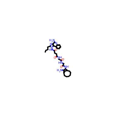 CCCCc1nc2c(N)nc3ccccc3c2n1NC(=O)CCC(=O)NCC(=O)NCC(=O)NC1C2CCCCCCC(C2)C1N